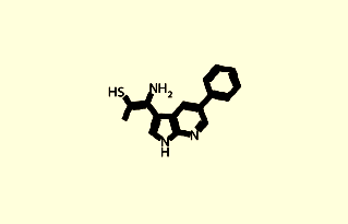 C/C(S)=C(/N)c1c[nH]c2ncc(-c3ccccc3)cc12